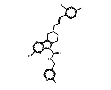 O=C(NCc1ccnc(F)c1)n1c2c(c3ccc(Br)cc31)CN(CC=Cc1ccc(F)cc1F)CC2